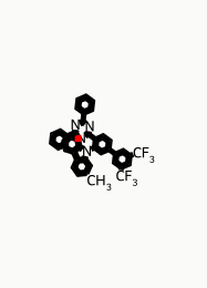 Cc1ccc2c3ccccc3n(-c3cc(-c4cc(C(F)(F)F)cc(C(F)(F)F)c4)ccc3-c3nc(-c4ccccc4)nc(-c4ccccc4)n3)c2c1